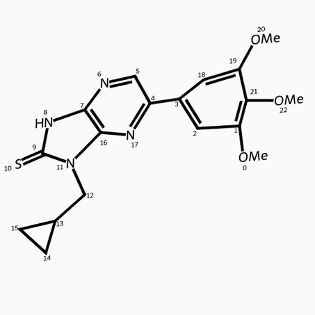 COc1cc(-c2cnc3[nH]c(=S)n(CC4CC4)c3n2)cc(OC)c1OC